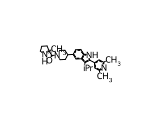 Cc1cc(-c2[nH]c3ccc(C4CCN(C(=O)[C@@]5(C)CCCN5)CC4)cc3c2C(C)C)cc(C)n1